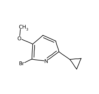 COc1ccc(C2CC2)nc1Br